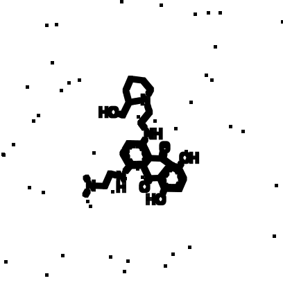 CN(C)CCNc1ccc(NCCN2CCCCC2CO)c2c1C(=O)c1c(O)ccc(O)c1C2=O